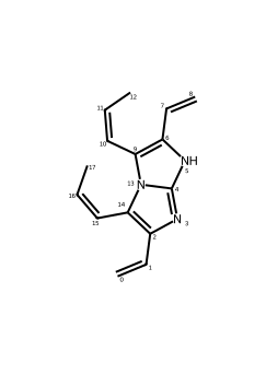 C=Cc1nc2[nH]c(C=C)c(/C=C\C)n2c1/C=C\C